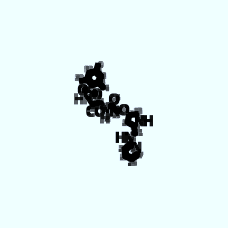 Cc1cc(C)c(S(=O)(=O)NC(CNC(=O)COC2CNC(CNc3ccccn3)C2)C(=O)O)c(C)c1